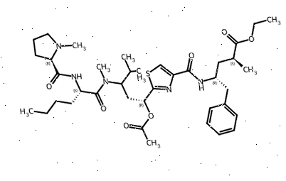 CCCC[C@H](NC(=O)[C@H]1CCCN1C)C(=O)N(C)C(C[C@@H](OC(C)=O)c1nc(C(=O)N[C@@H](Cc2ccccc2)C[C@H](C)C(=O)OCC)cs1)C(C)C